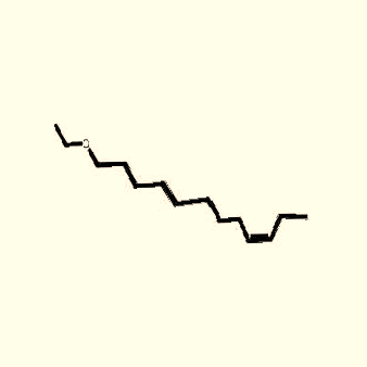 CC/C=C\CCCCCCCCOCC